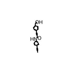 CC#Cc1ccc(NC(=O)C#Cc2ccc(CO)cc2)cc1